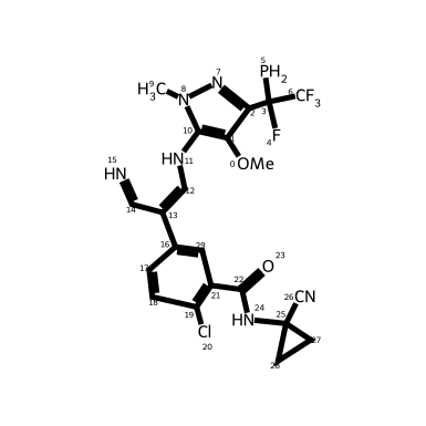 COc1c(C(F)(P)C(F)(F)F)nn(C)c1N/C=C(\C=N)c1ccc(Cl)c(C(=O)NC2(C#N)CC2)c1